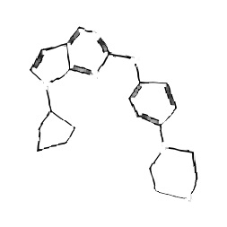 c1cc(N2CCNCC2)ccc1Nc1ncc2ccn(C3CCCC3)c2n1